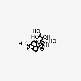 CN(C)c1cccc2c(S(=O)(=O)N[C@@H](C=O)[C@@H](O)[C@H](O)[C@H](O)CO)cccc12